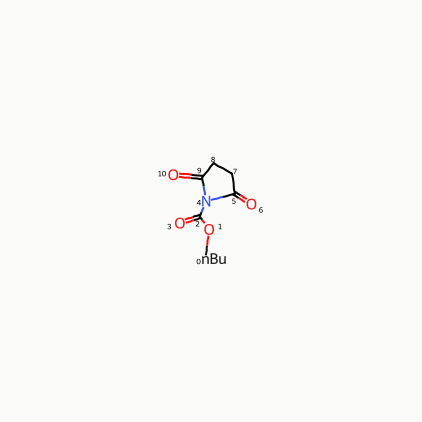 CCCCOC(=O)N1C(=O)CCC1=O